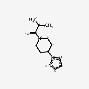 CC(C)C(=O)N1CCC(n2cccn2)CC1